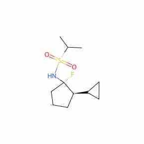 CC(C)S(=O)(=O)N[C@]1(F)C[CH]C[C@@H]1C1CC1